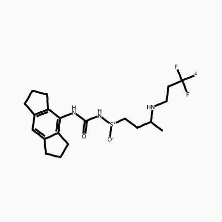 CC(CC[S+]([O-])NC(=O)Nc1c2c(cc3c1CCC3)CCC2)NCCC(F)(F)F